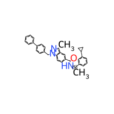 Cc1nn(Cc2ccc(-c3ccccc3)cc2)c2ccc(C(=O)N[C@@H](C)c3cccc(C4CC4)c3)cc12